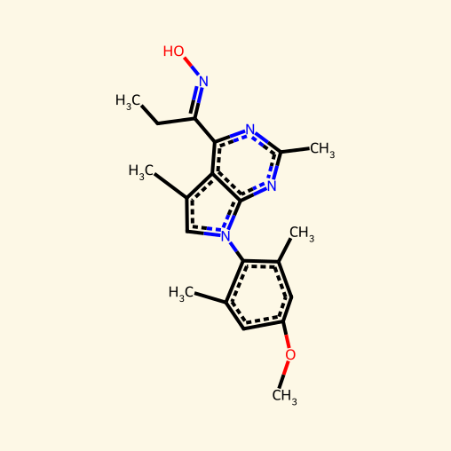 CC/C(=N\O)c1nc(C)nc2c1c(C)cn2-c1c(C)cc(OC)cc1C